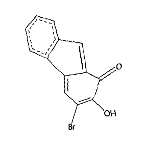 O=C1C2=Cc3ccccc3C2=CC(Br)=C1O